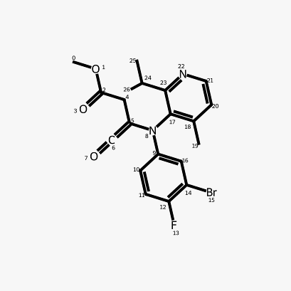 COC(=O)CC(=C=O)N(c1ccc(F)c(Br)c1)c1c(C)ccnc1C(C)C